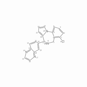 Clc1cccc2c1CNC(c1ccc3nccnc3c1)c1cccn1-2